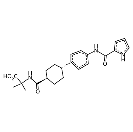 CC(C)(NC(=O)[C@H]1CC[C@H](c2ccc(NC(=O)c3ccc[nH]3)cc2)CC1)C(=O)O